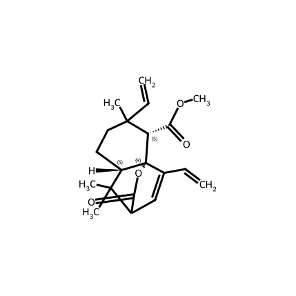 C=CC1=CC2C(=O)O[C@]13[C@@H](C(=O)OC)C(C)(C=C)CC[C@H]3C2(C)C